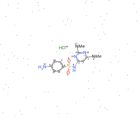 CNc1cc(NS(=O)(=O)c2ccc(N)cc2)nc(NC)n1.Cl